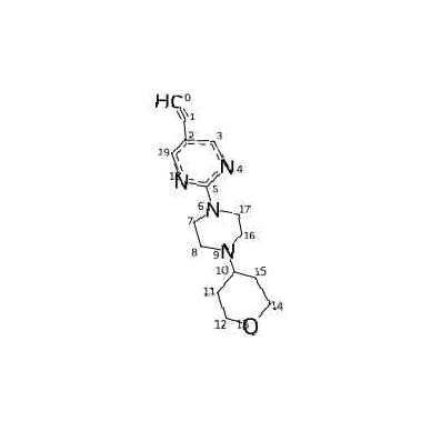 C#Cc1cnc(N2CCN(C3CCOCC3)CC2)nc1